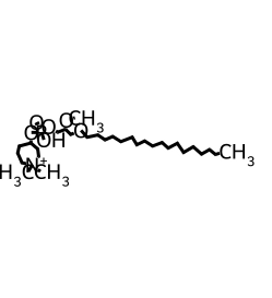 CCCCCCCCCCCCCCCCCCOCC(COP(=O)(O)OC1CCC[N+](C)(C)CC1)OC